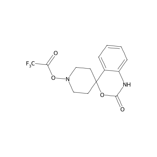 O=C1Nc2ccccc2C2(CCN(OC(=O)C(F)(F)F)CC2)O1